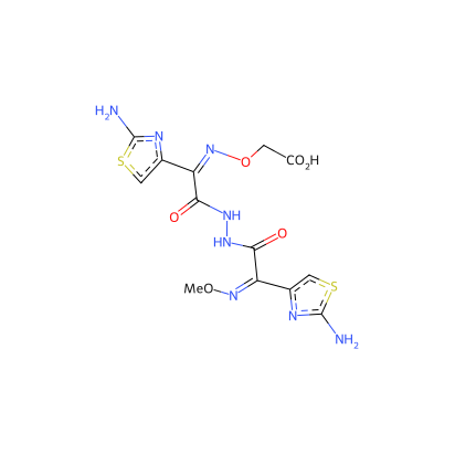 CON=C(C(=O)NNC(=O)C(=NOCC(=O)O)c1csc(N)n1)c1csc(N)n1